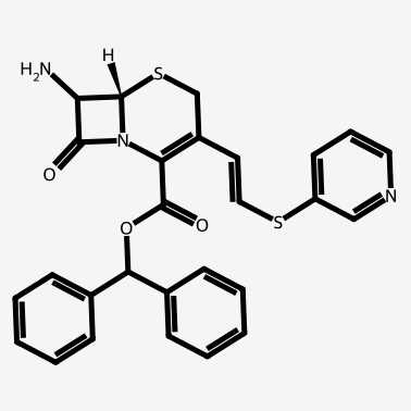 NC1C(=O)N2C(C(=O)OC(c3ccccc3)c3ccccc3)=C(C=CSc3cccnc3)CS[C@@H]12